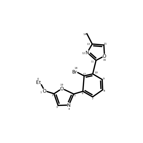 CCOc1cnc(-c2cccc(-c3nc(C)co3)c2Br)o1